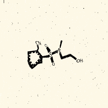 CN(CCO)S(=O)(=O)c1ccccc1C#N